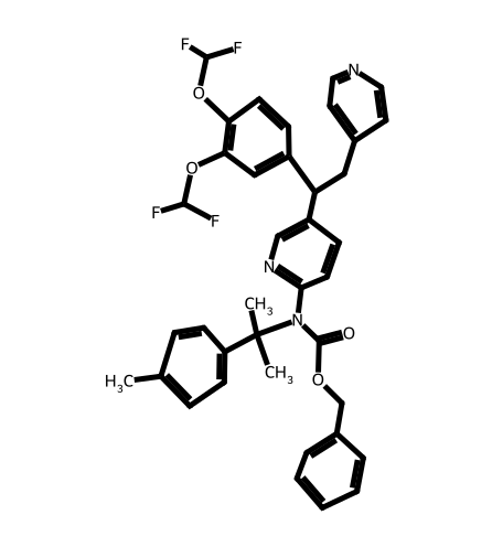 Cc1ccc(C(C)(C)N(C(=O)OCc2ccccc2)c2ccc(C(Cc3ccncc3)c3ccc(OC(F)F)c(OC(F)F)c3)cn2)cc1